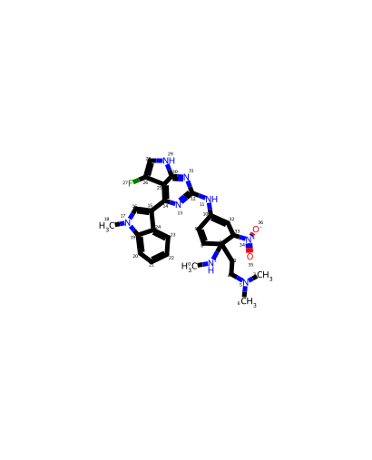 CNC1(CCN(C)C)C=CC(Nc2nc(-c3cn(C)c4ccccc34)c3c(F)c[nH]c3n2)=CC1[N+](=O)[O-]